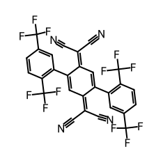 N#CC(C#N)=c1cc(-c2cc(C(F)(F)F)ccc2C(F)(F)F)c(=C(C#N)C#N)cc1-c1cc(C(F)(F)F)ccc1C(F)(F)F